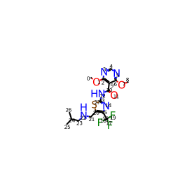 COc1ncnc(OC)c1C(=O)Nc1nc(C(F)(F)F)c(CNCC(C)C)s1